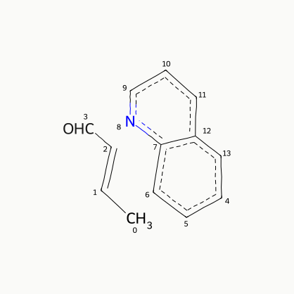 CC=CC=O.c1ccc2ncccc2c1